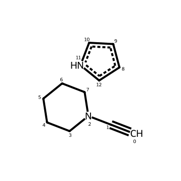 C#CN1CCCCC1.c1cc[nH]c1